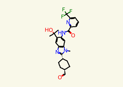 Cn1c2cc(NC(=O)c3cccc(C(F)(F)F)n3)c(C(C)(C)O)cc2nc1[C@H]1CC[C@H](C=O)CC1